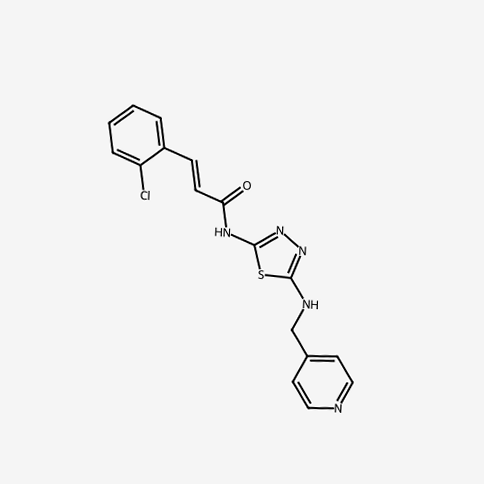 O=C(C=Cc1ccccc1Cl)Nc1nnc(NCc2ccncc2)s1